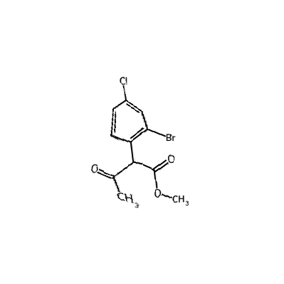 COC(=O)C(C(C)=O)c1ccc(Cl)cc1Br